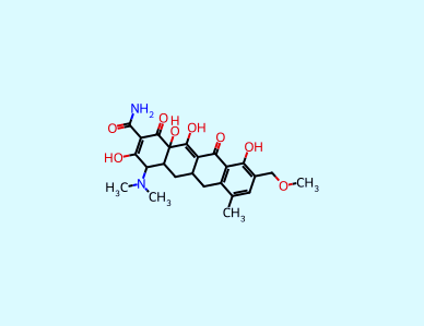 COCc1cc(C)c2c(c1O)C(=O)C1=C(O)C3(O)C(=O)C(C(N)=O)=C(O)C(N(C)C)C3CC1C2